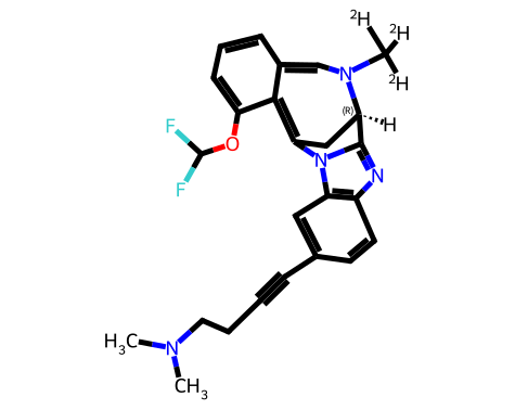 [2H]C([2H])([2H])N1C=c2cccc(OC(F)F)c2=C2C[C@@H]1c1nc3ccc(C#CCCN(C)C)cc3n12